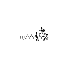 [CH2]CC[CH]CNC(=O)c1cc(C(F)(F)F)cc(C(F)(F)F)c1